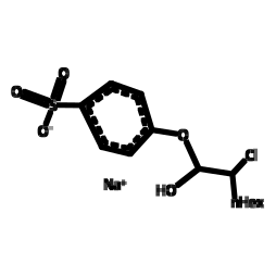 CCCCCCC(Cl)C(O)Oc1ccc(S(=O)(=O)[O-])cc1.[Na+]